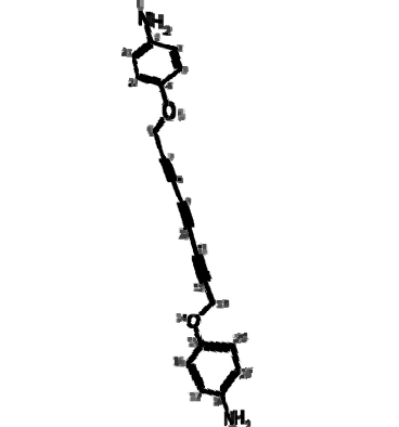 Nc1ccc(OCC#CC#CC#CCOc2ccc(N)cc2)cc1